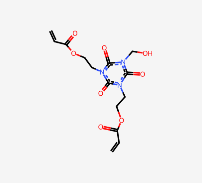 C=CC(=O)OCCn1c(=O)n(CO)c(=O)n(CCOC(=O)C=C)c1=O